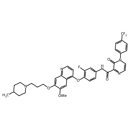 COc1cc2c(Oc3ccc(NC(=O)c4nccn(-c5ccc(C(F)(F)F)cc5)c4=O)cc3F)ccnc2cc1OCCCN1CCC(C)CC1